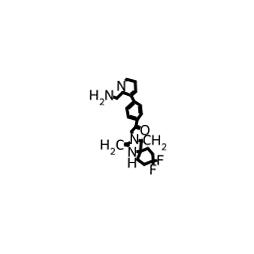 C=C1NC2(CCC(F)(F)CC2)C(=C)N1CC(=O)c1ccc(C2=CCCN=C2CN)cc1